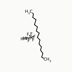 CCCCCCCCCCCCCCCC.F[P-](F)(F)(F)(F)F.[H+].[Mn]